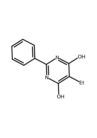 CCc1c(O)nc(-c2ccccc2)nc1O